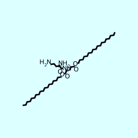 CCCCCCCCCCCCCCCCCCOC(=O)CC[C@H](NC(=O)[C@H](N)CCCN)C(=O)OCCCCCCCCCCCCCCCCCC